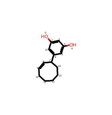 Oc1cc(O)cc(C2C=CCCCCC2)c1